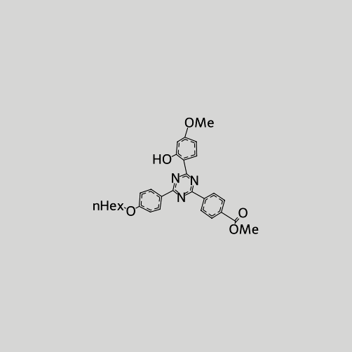 CCCCCCOc1ccc(-c2nc(-c3ccc(C(=O)OC)cc3)nc(-c3ccc(OC)cc3O)n2)cc1